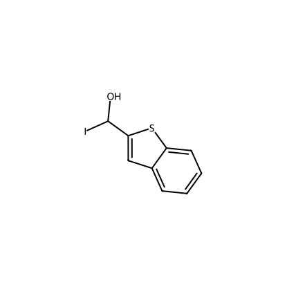 OC(I)c1cc2ccccc2s1